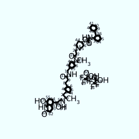 CC(Cc1cccc(CCC(=O)NCc2ccc(N(C)C(=O)CCN3CCC(OC(=O)Nc4ccccc4-c4ccccc4)CC3)cc2)c1)NC[C@H](O)c1ccc(O)c2[nH]c(=O)ccc12.O=C(O)C(F)(F)F.O=C(O)C(F)(F)F